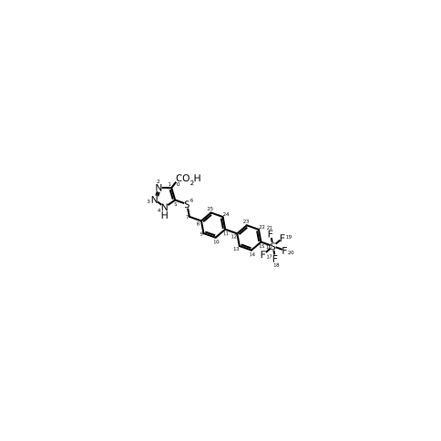 O=C(O)c1nn[nH]c1SCc1ccc(-c2ccc(S(F)(F)(F)(F)F)cc2)cc1